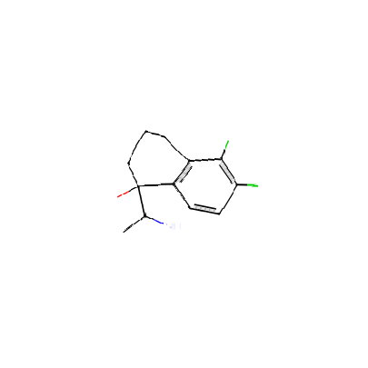 CC(N)C1(O)CCCc2c1ccc(Cl)c2Cl